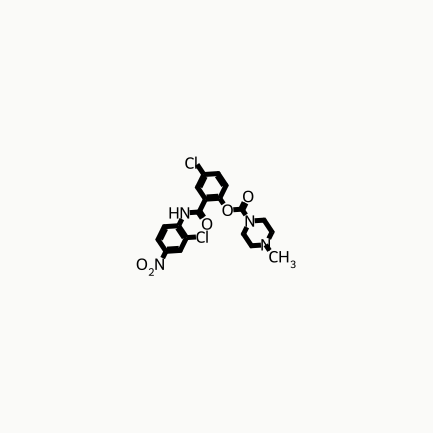 CN1CCN(C(=O)Oc2ccc(Cl)cc2C(=O)Nc2ccc([N+](=O)[O-])cc2Cl)CC1